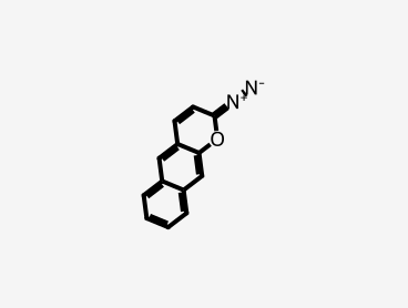 [N-]=[N+]=c1ccc2cc3ccccc3cc2o1